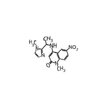 CC(Nc1cc(=O)n(C)c2ccc([N+](=O)[O-])cc12)c1nccn1C